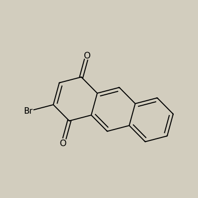 O=C1C=C(Br)C(=O)c2cc3ccccc3cc21